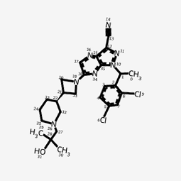 CC(c1ccc(Cl)cc1Cl)n1nc(C#N)c2ncc(N3CC([C@@H]4CCCN(CC(C)(C)O)C4)C3)nc21